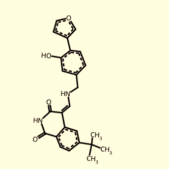 CC(C)(C)c1ccc2c(c1)C(=CNCc1ccc(-c3ccoc3)c(O)c1)C(=O)NC2=O